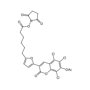 CC(=O)Oc1c(Cl)c(Cl)c2cc(-c3ccc(CCCCCC(=O)ON4C(=O)CCC4=O)o3)c(=O)oc2c1Cl